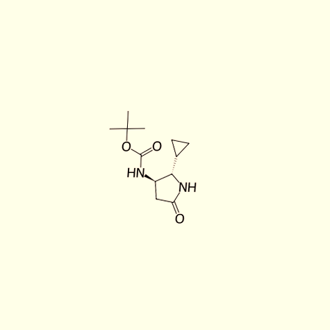 CC(C)(C)OC(=O)N[C@@H]1CC(=O)N[C@H]1C1CC1